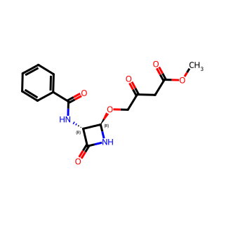 COC(=O)CC(=O)CO[C@H]1NC(=O)[C@@H]1NC(=O)c1ccccc1